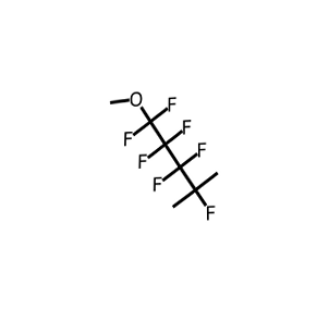 COC(F)(F)C(F)(F)C(F)(F)C(C)(C)F